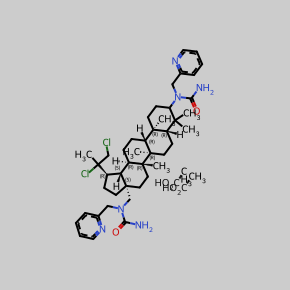 CC(=O)O.CC(=O)O.CC(Cl)(CCl)[C@@H]1CC[C@]2(CN(Cc3ccccn3)C(N)=O)CC[C@]3(C)[C@H](CC[C@@H]4[C@@]5(C)CCC(N(Cc6ccccn6)C(N)=O)C(C)(C)[C@@H]5CC[C@]43C)[C@@H]12